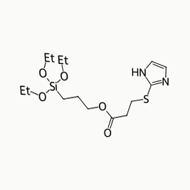 CCO[Si](CCCOC(=O)CCSc1ncc[nH]1)(OCC)OCC